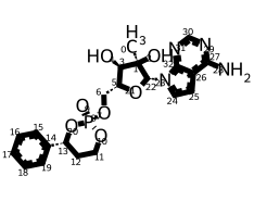 C[C@@]1(O)[C@H](O)[C@@H](CO[P@@]2(=O)OCC[C@H](c3ccccc3)O2)O[C@H]1n1ccc2c(N)ncnc21